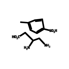 Cc1ccc(S(=O)(=O)O)cc1.NCC(N)CC(=O)O